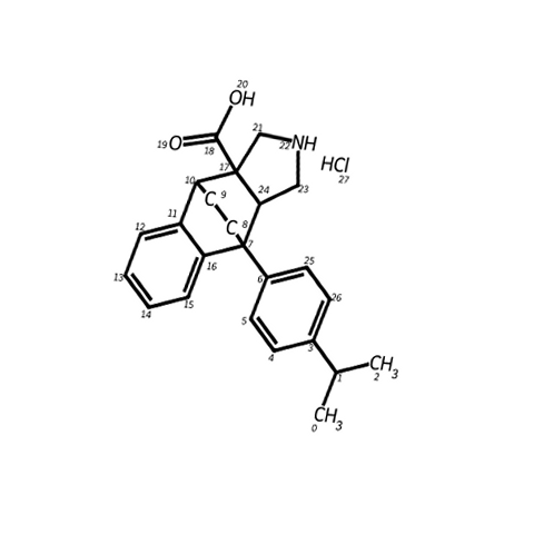 CC(C)c1ccc(C23CCC(c4ccccc42)C2(C(=O)O)CNCC32)cc1.Cl